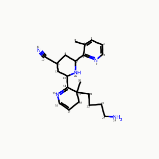 Cc1cccnc1C1CC(C#N)CC(C2=NC=CCC2(C)CCCCN)N1